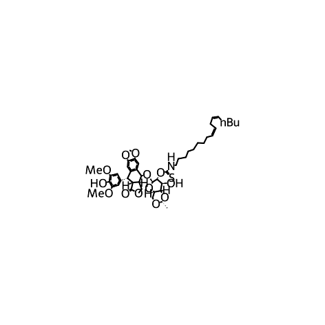 CCCC/C=C\C/C=C\CCCCCCCCNC(=S)O[C@H]1[C@H](O[C@@H]2c3cc4c(cc3[C@@H](c3cc(OC)c(O)c(OC)c3)[C@H]3C(=O)OC[C@@H]32)OCO4)O[C@@H]2CO[C@@H](C)O[C@H]2[C@@H]1O